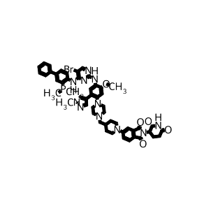 COc1cc(N2CCN(CC3CCN(c4ccc5c(c4)C(=O)N(C4CCC(=O)NC4=O)C5=O)CC3)CC2)c(-c2cnn(C)c2)cc1Nc1ncc(Br)c(Nc2ccc(-c3ccccc3)cc2P(C)C)n1